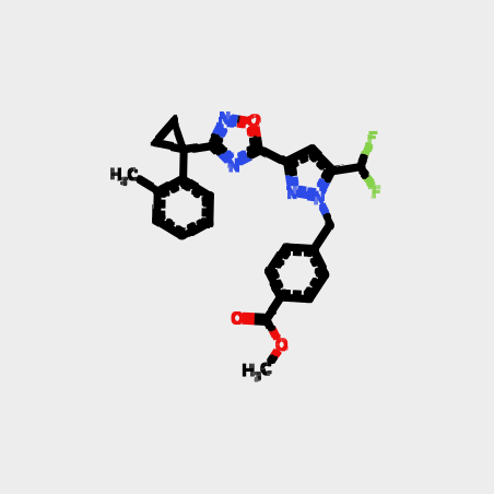 COC(=O)c1ccc(Cn2nc(-c3nc(C4(c5ccccc5C)CC4)no3)cc2C(F)F)cc1